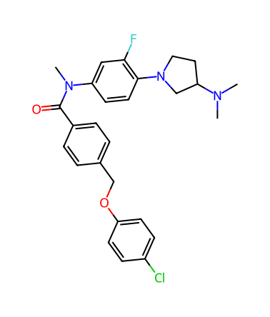 CN(C(=O)c1ccc(COc2ccc(Cl)cc2)cc1)c1ccc(N2CCC(N(C)C)C2)c(F)c1